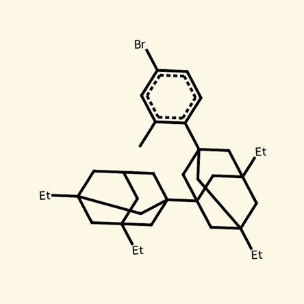 CCC12CC3CC(CC)(C1)CC(C14CC5(CC)CC(CC)(CC(c6ccc(Br)cc6C)(C5)C1)C4)(C3)C2